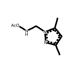 CC(=O)ONCn1nc(C)cc1C